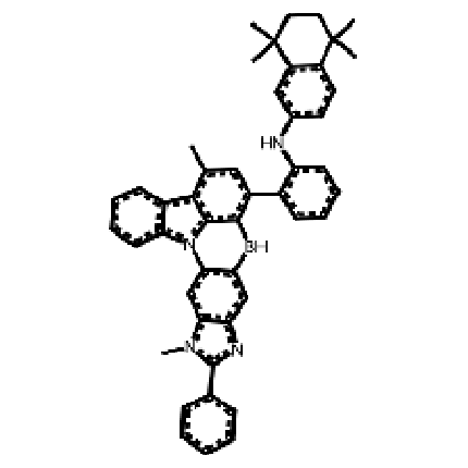 Cc1cc(-c2ccccc2Nc2ccc3c(c2)C(C)(C)CCC3(C)C)c2c3c1c1ccccc1n3-c1cc3c(cc1B2)nc(-c1ccccc1)n3C